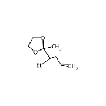 C=CCC(CC)C1(C)OCCO1